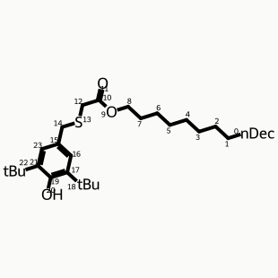 CCCCCCCCCCCCCCCCCCOC(=O)CSCc1cc(C(C)(C)C)c(O)c(C(C)(C)C)c1